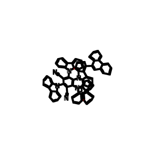 N#Cc1c(-n2c3ccccc3c3ccccc32)c(C#N)c(-n2c3ccccc3c3ccccc32)c(-n2c3cccc(-c4cc5ccccc5c5ccccc45)c3c3ccc4c5ccccc5oc4c32)c1-n1c2ccccc2c2ccccc21